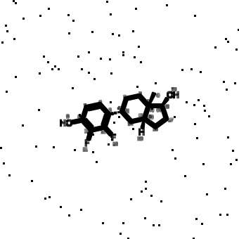 C[C@]12CC[C@@H](c3ccc(O)c(F)c3F)C[C@H]1CC[C@@H]2O